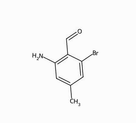 Cc1cc(N)c(C=O)c(Br)c1